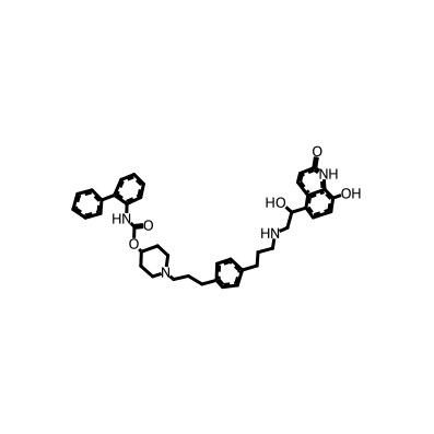 O=C(Nc1ccccc1-c1ccccc1)OC1CCN(CCCc2ccc(CCCNCC(O)c3ccc(O)c4[nH]c(=O)ccc34)cc2)CC1